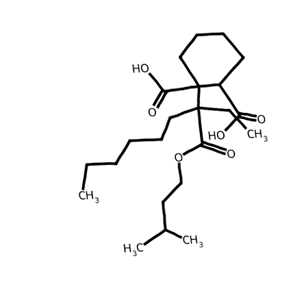 CCCCCCC(CC)(C(=O)OCCC(C)C)C1(C(=O)O)CCCCC1C(=O)O